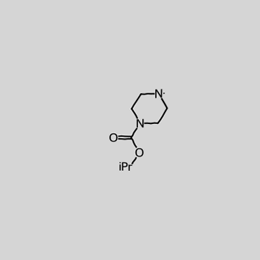 CC(C)OC(=O)N1CC[N]CC1